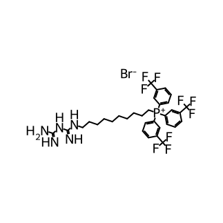 N=C(N)NC(=N)NCCCCCCCCCC[P+](c1cccc(C(F)(F)F)c1)(c1cccc(C(F)(F)F)c1)c1cccc(C(F)(F)F)c1.[Br-]